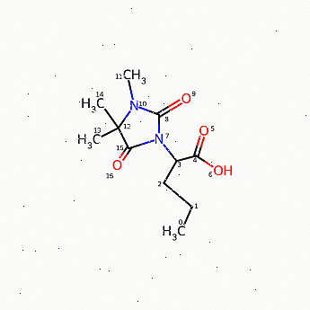 CCCC(C(=O)O)N1C(=O)N(C)C(C)(C)C1=O